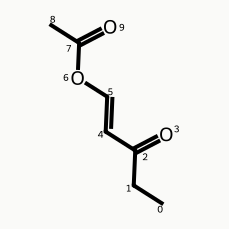 CCC(=O)C=COC(C)=O